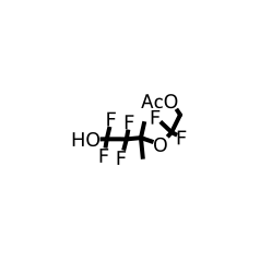 CC(=O)OCC(F)(F)OC(C)(C)C(F)(F)C(O)(F)F